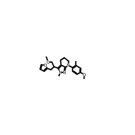 COCC(Cc1ccco1)c1c2c(nn1C)N(c1ccc(OC)cc1C)CCC2